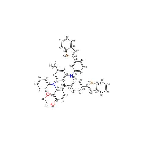 Cc1cc2c3c(c1)N(c1ccccc1)c1c(ccc4c1OCCO4)B3c1ccc(-c3cc4ccccc4s3)cc1N2c1cccc(-c2cc3ccccc3s2)c1